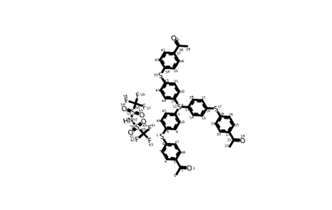 CC(=O)c1ccc(Sc2ccc([S+](c3ccc(Sc4ccc(C(C)=O)cc4)cc3)c3ccc(Sc4ccc(C(C)=O)cc4)cc3)cc2)cc1.O=S(=O)(NS(=O)(=O)C(F)(F)F)C(F)(F)F